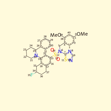 COc1ccc(CN(c2ncns2)S(=O)(=O)c2cc3c(c(N4CCCCC4c4ccccc4)c2)CC(F)CC3)c(OC)c1